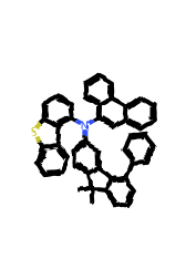 CC1(C)c2ccc(N(c3cc4ccccc4c4ccccc34)c3cccc4sc5ccccc5c34)cc2-c2c(-c3ccccc3)cccc21